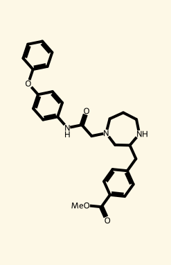 COC(=O)c1ccc(CC2CN(CC(=O)Nc3ccc(Oc4ccccc4)cc3)CCCN2)cc1